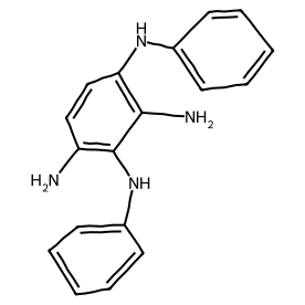 Nc1ccc(Nc2ccccc2)c(N)c1Nc1ccccc1